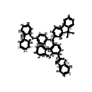 CC1(C)c2ccccc2-c2ccc(N(c3ccc(-n4c5ccccc5c5ccccc54)cc3)c3ccc(-c4nc5ccccc5s4)c4sc5ccccc5c34)cc21